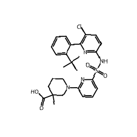 CC1(C(=O)O)CCCN(c2cccc(S(=O)(=O)Nc3ccc(Cl)c(-c4ccccc4C(C)(C)C)n3)n2)C1